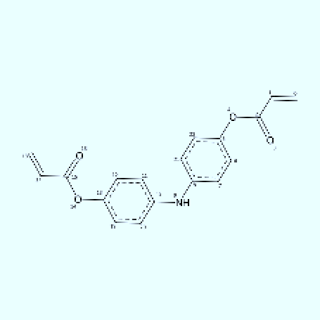 C=CC(=O)Oc1ccc(Nc2ccc(OC(=O)C=C)cc2)cc1